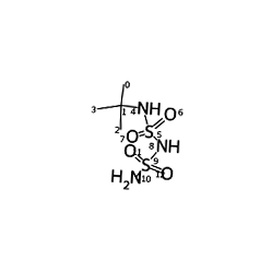 CC(C)(C)NS(=O)(=O)NS(N)(=O)=O